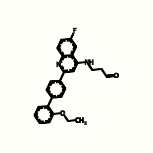 CCOc1ccccc1-c1ccc(-c2cc(NCCC=O)c3cc(F)ccc3n2)cc1